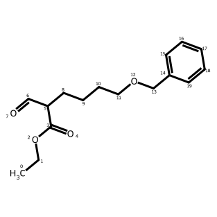 CCOC(=O)C(C=O)CCCCOCc1ccccc1